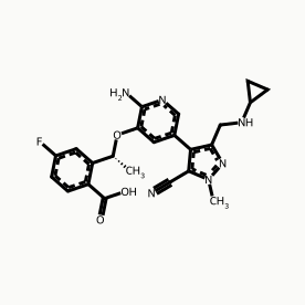 C[C@@H](Oc1cc(-c2c(CNC3CC3)nn(C)c2C#N)cnc1N)c1cc(F)ccc1C(=O)O